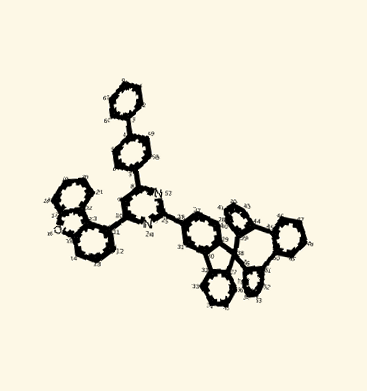 c1ccc(-c2ccc(-c3cc(-c4cccc5oc6ccccc6c45)nc(-c4ccc5c(c4)-c4ccccc4C54c5ccccc5-c5ccccc5-c5ccccc54)n3)cc2)cc1